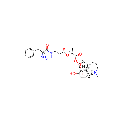 C[C@H](OC(=O)CCNC(=O)[C@@H](N)Cc1ccccc1)C(=O)OC1=CC[C@@]2(O)[C@H]3Cc4ccc(O)c5c4[C@@]2(CCCN3C)[C@H]1O5